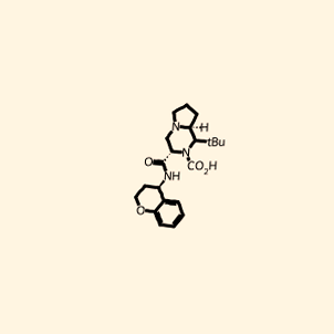 CC(C)(C)C1[C@@H]2CCCN2C[C@@H](C(=O)N[C@@H]2CCOc3ccccc32)N1C(=O)O